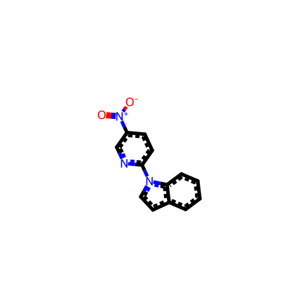 O=[N+]([O-])c1ccc(-n2ccc3ccccc32)nc1